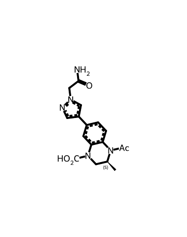 CC(=O)N1c2ccc(-c3cnn(CC(N)=O)c3)cc2N(C(=O)O)C[C@@H]1C